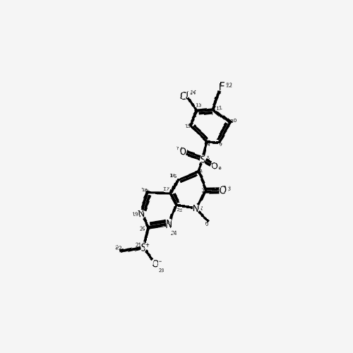 Cn1c(=O)c(S(=O)(=O)c2ccc(F)c(Cl)c2)cc2cnc([S+](C)[O-])nc21